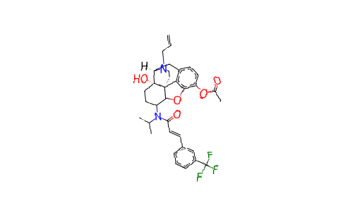 C=CCN1CC[C@]23c4c5ccc(OC(C)=O)c4OC2C(N(C(=O)/C=C/c2cccc(C(F)(F)F)c2)C(C)C)CC[C@@]3(O)[C@H]1C5